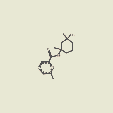 Cc1cncc(C(=O)NC2(C)CCCC(C)(N)C2)n1